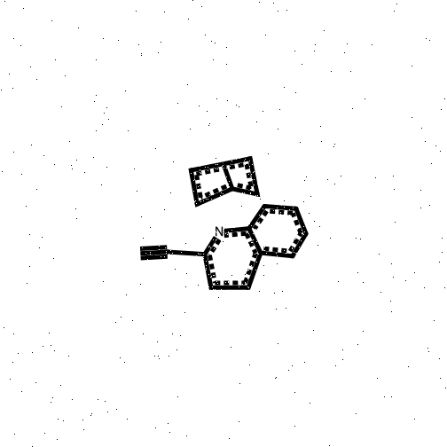 C#Cc1ccc2ccccc2n1.c1cc2ccc1-2